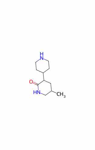 CC1CNC(=O)C(C2CCNCC2)C1